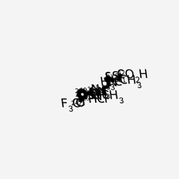 CN(CCc1csc(SC(C)(C)C(=O)O)n1)c1ncc(-c2cccc(OC(F)(F)F)c2)cn1.Cl